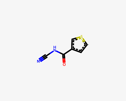 N#CNC(=O)c1c[c]sc1